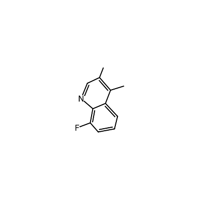 Cc1cnc2c(F)cccc2c1C